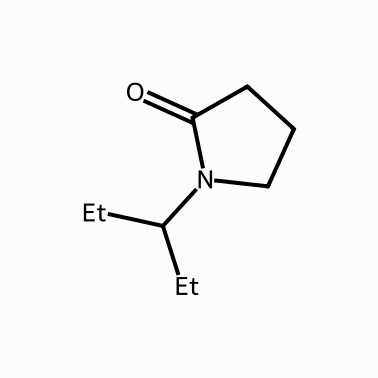 CCC(CC)N1CCCC1=O